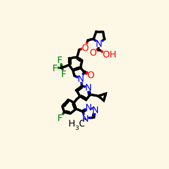 Cn1cnnc1-c1cc(F)ccc1-c1cc(C2CC2)nc(N2Cc3c(cc(COCC4CCCN4C(=O)O)cc3C(F)(F)F)C2=O)c1